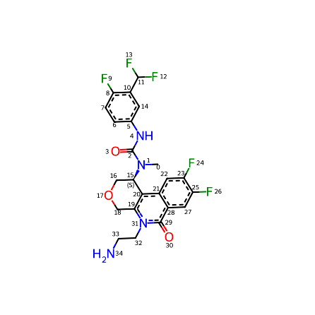 CN(C(=O)Nc1ccc(F)c(C(F)F)c1)[C@@H]1COCc2c1c1cc(F)c(F)cc1c(=O)n2CCN